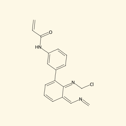 C=CC(=O)Nc1cccc(C2=CC=CC(=C/N=C)/C2=N\CCl)c1